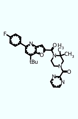 CC(C)(C)c1cc(-c2ccc(F)cc2)nc2cc(C(=O)N3CCN(C(=O)c4ncccn4)CC3(C)C)oc12